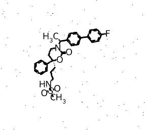 C[C@@H](c1ccc(-c2ccc(F)cc2)cc1)N1CC[C@](CCCNS(C)(=O)=O)(c2ccccc2)OC1=O